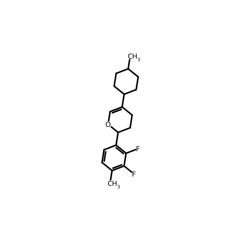 Cc1ccc(C2CCC(C3CCC(C)CC3)=CO2)c(F)c1F